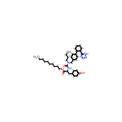 CCCCCCCCCCOC(=O)C(Cc1ccc(O)cc1)NC(=O)N(CCCC)Cc1ccc(-c2ccccc2-c2nnn[nH]2)cc1